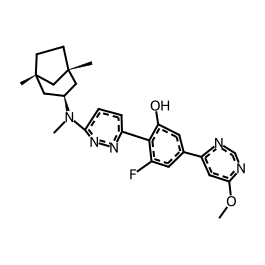 COc1cc(-c2cc(O)c(-c3ccc(N(C)[C@H]4C[C@]5(C)CC[C@](C)(C4)C5)nn3)c(F)c2)ncn1